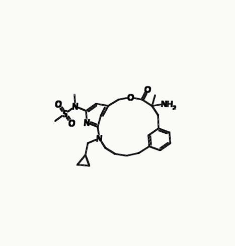 CN(c1cc2cc(n1)N(CC1CC1)CCCCc1cccc(c1)CC(C)(N)C(=O)OC2)S(C)(=O)=O